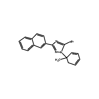 CCCc1nc(-c2ccc3ccccc3c2)nn1C1(C)C=CC=CC1